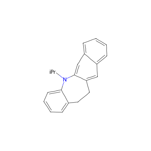 CC(C)N1c2ccccc2CCc2cc3ccccc3cc21